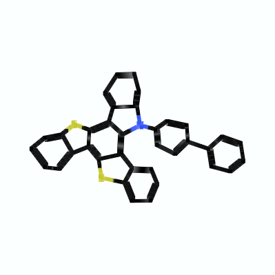 c1ccc(-c2ccc(-n3c4ccccc4c4c5sc6ccccc6c5c5sc6ccccc6c5c43)cc2)cc1